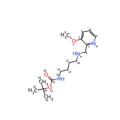 COc1cccnc1CNCCCCNC(=O)OC(C)(C)C